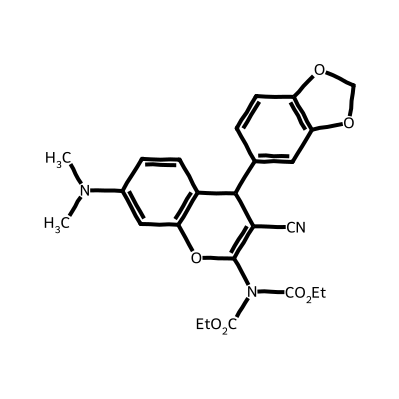 CCOC(=O)N(C(=O)OCC)C1=C(C#N)C(c2ccc3c(c2)OCO3)c2ccc(N(C)C)cc2O1